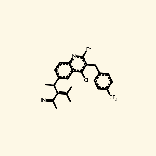 CCc1nc2ccc(C(C)C(C(C)=N)=C(C)C)cc2c(Cl)c1Cc1ccc(C(F)(F)F)cc1